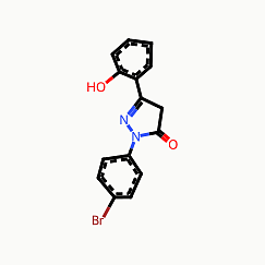 O=C1CC(c2ccccc2O)=NN1c1ccc(Br)cc1